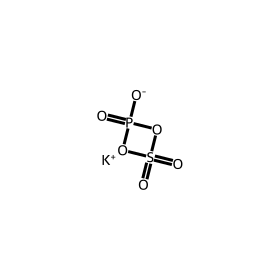 O=P1([O-])OS(=O)(=O)O1.[K+]